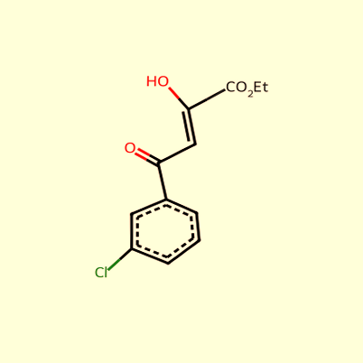 CCOC(=O)C(O)=CC(=O)c1cccc(Cl)c1